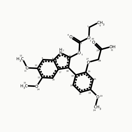 CCOC(=O)Oc1[nH]c2cc(OC)c(OC)cc2c1-c1ccc(OC)cc1OCC(=O)O